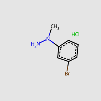 CN(N)c1cccc(Br)c1.Cl